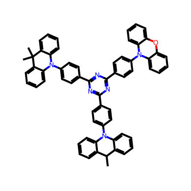 CC1c2ccccc2N(c2ccc(-c3nc(-c4ccc(N5c6ccccc6Oc6ccccc65)cc4)nc(-c4ccc(N5c6ccccc6C(C)(C)c6ccccc65)cc4)n3)cc2)c2ccccc21